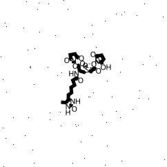 CC1NC(=O)NC1CCCCCC(=O)NC(C[S+]([O-])CC(=O)ON1C(=O)CCC1O)C(=O)ON1C(=O)CCC1=O